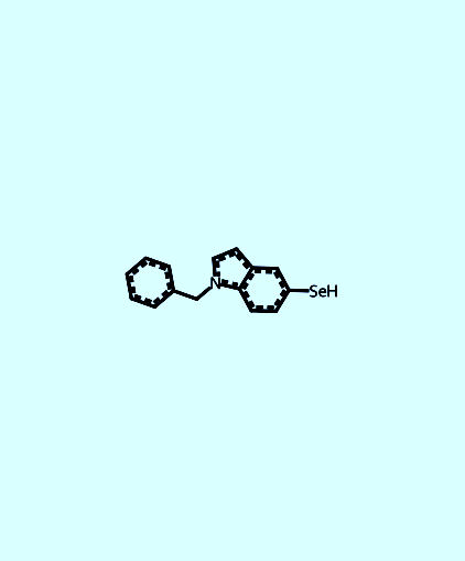 [SeH]c1ccc2c(ccn2Cc2ccccc2)c1